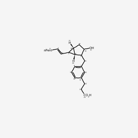 CCCCCC=CC1[C@H]2C(Cc3cccc(CCC(=O)O)c3)C(O)C[C@@H]12